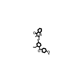 CCc1cc(CSc2nc3ccccc3c(=O)n2C)ccc1C(=O)c1ccc(OC)cc1